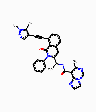 Cc1ncn2ccnc2c1C(=O)N[C@@H](C)c1cc2cccc(C#Cc3cnn(C)c3C)c2c(=O)n1-c1ccccc1